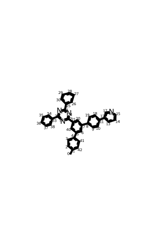 Cc1ccc(-c2cc(-c3ccc(-c4cccnc4)cc3)cc(-c3nc(-c4ccccc4)nc(-c4ccccc4)n3)c2)cc1